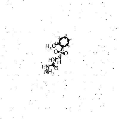 Cc1ccccc1S(=O)(=O)NNC(=O)NN